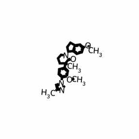 COc1ccc2c(c1)CC[C@H]2N1CCCC(C)(c2ccc(-n3cnc(C)c3)c(OC)c2)C1=O